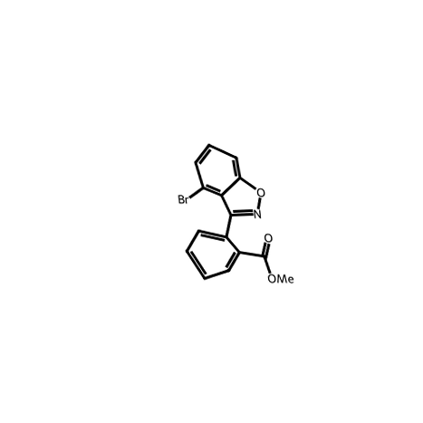 COC(=O)c1ccccc1-c1noc2cccc(Br)c12